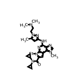 CCn1c(C(=O)N(C2CC2)C2CC2)cc2c3c(ncn3C)c(Nc3cc(C)n(CCN(C)C)n3)nc21